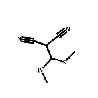 CNC(SC)C(C#N)C#N